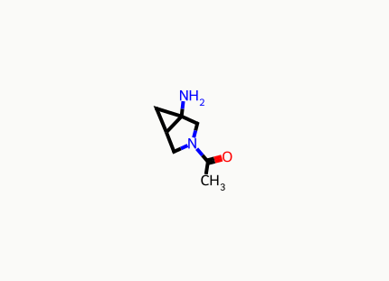 CC(=O)N1CC2CC2(N)C1